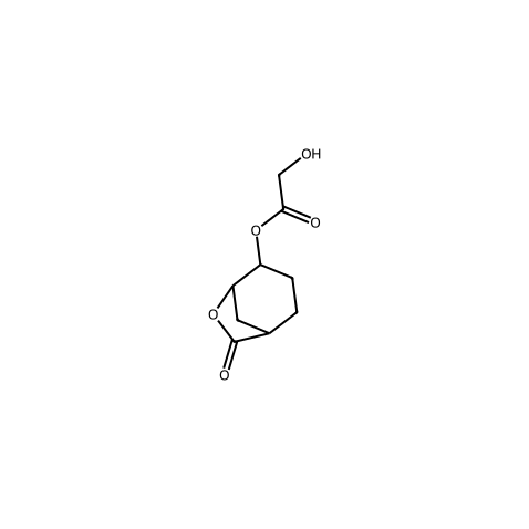 O=C(CO)OC1CCC2CC1OC2=O